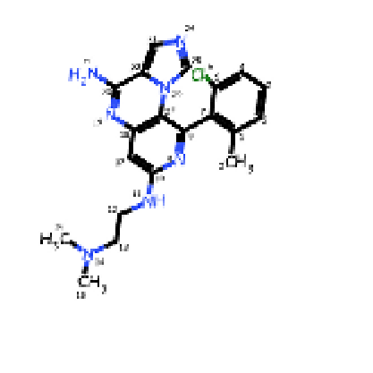 Cc1cccc(Cl)c1-c1nc(NCCN(C)C)cc2nc(N)c3cncn3c12